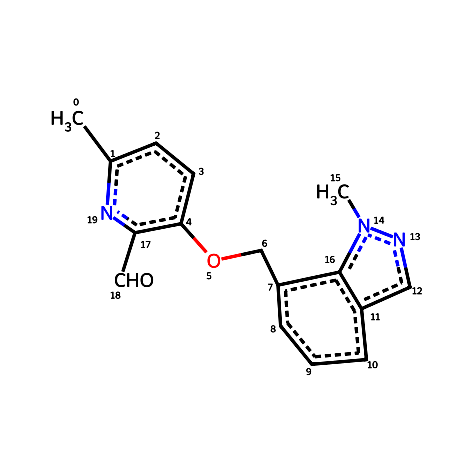 Cc1ccc(OCc2cccc3cnn(C)c23)c(C=O)n1